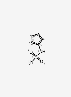 NS(=O)(=O)Nc1cccs1